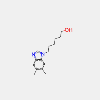 Cc1cc2ncn(CCCCCCO)c2cc1C